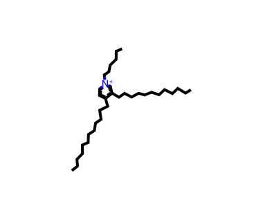 CCCCCCCCCCCCc1cc[n+](CCCCCC)cc1CCCCCCCCCCCC